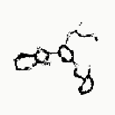 COC[C@@H](C)Oc1cc(OCc2ccccc2F)cc(-c2nc3cccnc3[nH]2)c1